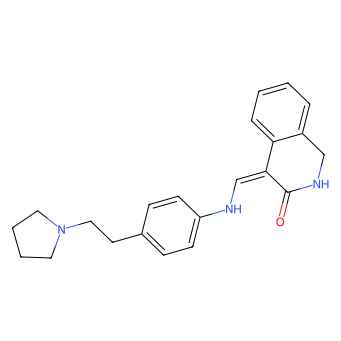 O=C1NCc2ccccc2/C1=C/Nc1ccc(CCN2CCCC2)cc1